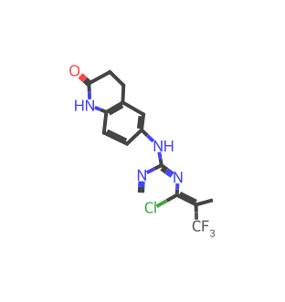 C=N/C(=N\C(Cl)=C(/C)C(F)(F)F)Nc1ccc2c(c1)CCC(=O)N2